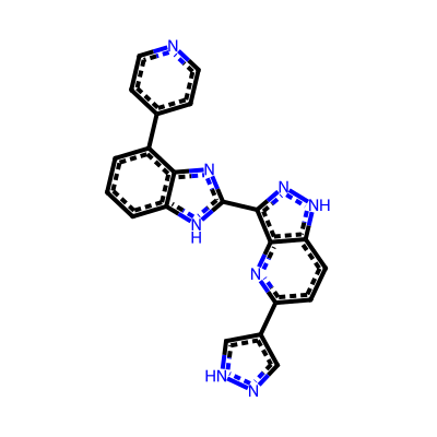 c1cc(-c2ccncc2)c2nc(-c3n[nH]c4ccc(-c5cn[nH]c5)nc34)[nH]c2c1